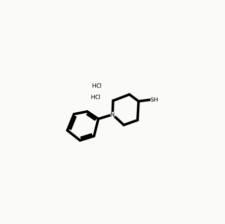 Cl.Cl.SC1CCN(c2ccccc2)CC1